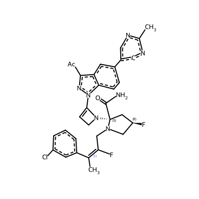 CC(=O)c1nn(C2=CCN2[C@]2(C(N)=O)C[C@@H](F)CN2C/C(F)=C(/C)c2cccc(Cl)c2)c2ccc(-c3cnc(C)nc3)cc12